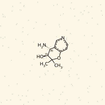 CC1(C)Oc2ccncc2[C@@H](N)[C@@H]1O